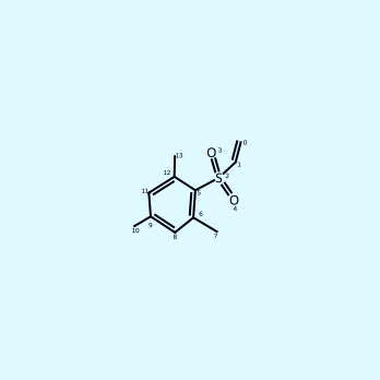 C=CS(=O)(=O)c1c(C)cc(C)cc1C